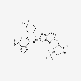 O=C(N[C@H](c1cn2nc(CC3C[C@@H](C(F)(F)F)CNC3=O)ccc2n1)C1CCC(F)(F)CC1)c1conc1C1(F)CC1